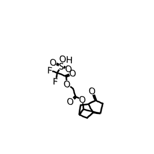 O=C(COC(=O)C(F)(F)S(=O)(=O)O)OC1C2CC3C(=O)CC1C3C2